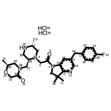 C[C@@H]1CN(CC(=O)N2CC(C)(C)c3ncc(Cc4ccc(F)cc4)cc32)[C@@H](CN2C[C@H](C)OCC2=O)CN1.Cl.Cl